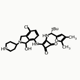 Cc1cc([C@H](Nc2c(Nc3ccc(Cl)c4c3C(O)N(C3CCNCC3)C4)c(=O)c2=O)C(C)(C)C)oc1C